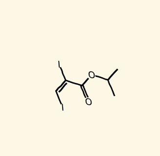 CC(C)OC(=O)/C(I)=C\I